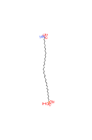 O=C(CCCCCCCCCCCCCCCCCCCCCCCCCCCCCCCCCCCP(=O)(O)O)NO